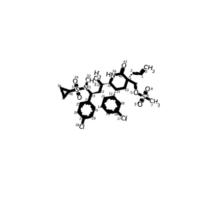 C=CC[C@]1(COS(C)(=O)=O)C[C@H](c2cccc(Cl)c2)[C@H](C(C)C[C@@H](c2ccc(Cl)cc2)N(C)S(=O)(=O)C2CC2)NC1=O